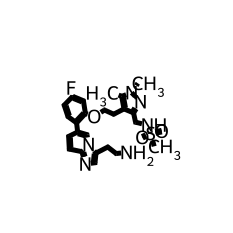 Cc1c(CCOc2cc(F)ccc2-c2ccc3ncc(CCN)n3c2)c(CNS(C)(=O)=O)nn1C